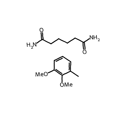 COc1cccc(C)c1OC.NC(=O)CCCCC(N)=O